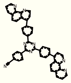 N#Cc1ccc(-c2nc(-c3ccc(-c4ccnc5c4ccc4cccnc45)cc3)nc(-c3ccc(-c4ccnc5c4ccc4cccnc45)cc3)n2)cc1